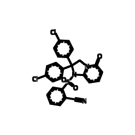 N#Cc1ccccc1S(=O)(=O)N1c2cccc(=O)n2CC1(c1ccc(Cl)cc1)c1ccc(Cl)cc1